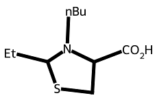 CCCCN1C(CC)SCC1C(=O)O